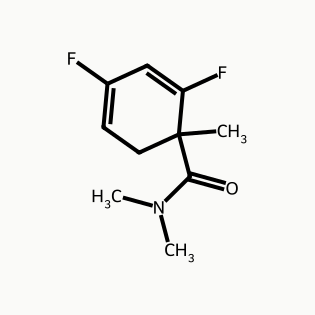 CN(C)C(=O)C1(C)CC=C(F)C=C1F